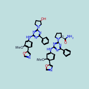 COc1cc(Nc2nc(-c3ccccc3)nc(N3CCC(O)C3)n2)ccc1-c1cnco1.COc1cc(Nc2nc(-c3ccccc3)nc(N3CCC[C@H]3C(N)=O)n2)ccc1-c1cnco1